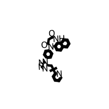 CC(C)(Cc1nnnn1-c1ccc(N2C(=O)CC(=O)Nc3c2ccc2ccccc32)cc1)c1ccccn1